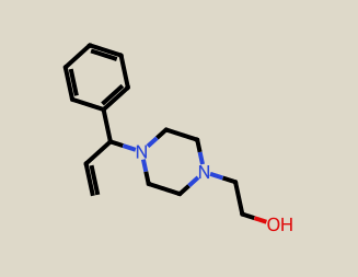 C=CC(c1ccccc1)N1CCN(CCO)CC1